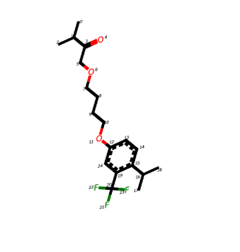 CC(C)C(=O)COCCCCOc1ccc(C(C)C)c(C(F)(F)F)c1